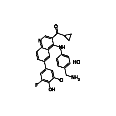 Cl.NCc1ccc(Nc2c(C(=O)C3CC3)cnc3ccc(-c4cc(F)c(O)c(Cl)c4)cc23)cc1